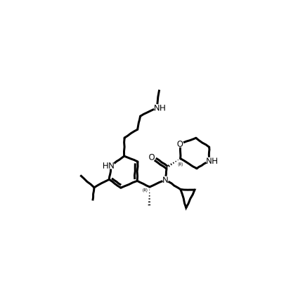 CNCCCC1C=C([C@@H](C)N(C(=O)[C@H]2CNCCO2)C2CC2)C=C(C(C)C)N1